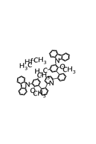 COc1c(-c2ccccc2-c2cccc(-c3ccccc3-c3cc(C)cc(-n4c5ccccc5c5ccccc54)c3OC)n2)cc(C)cc1-n1c2ccccc2c2ccccc21.[CH3][Hf][CH3]